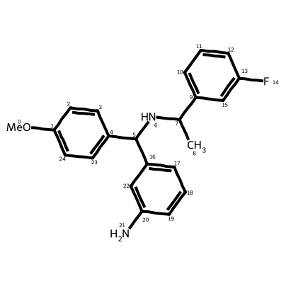 COc1ccc(C(NC(C)c2cccc(F)c2)c2cccc(N)c2)cc1